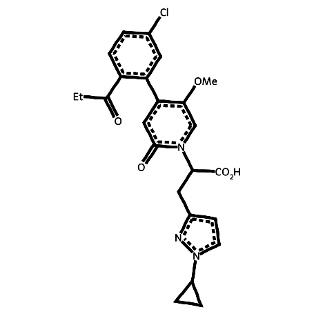 CCC(=O)c1ccc(Cl)cc1-c1cc(=O)n(C(Cc2ccn(C3CC3)n2)C(=O)O)cc1OC